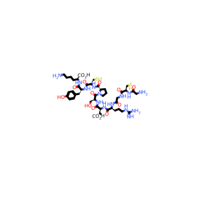 N=C(N)NCCC[C@H](NC(=O)CNC(=O)[C@@H](CS)NC(=O)CN)C(=O)N[C@@H](CC(=O)O)C(=O)N[C@@H](CO)C(=O)N1CCC[C@H]1C(=O)N[C@@H](CS)C(=O)N[C@H](Cc1ccc(O)cc1)C(=O)N[C@@H](CCCCN)C(=O)O